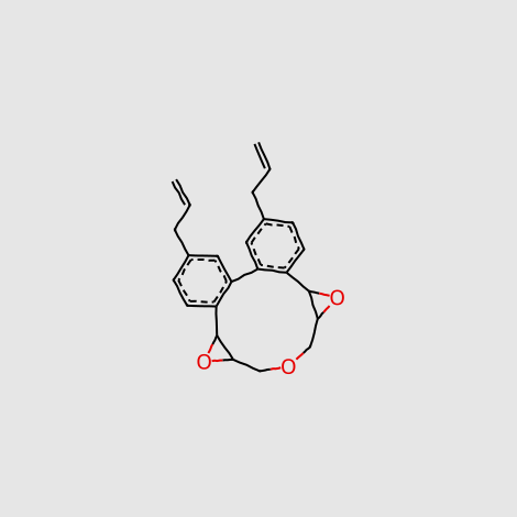 C=CCc1ccc2c(c1)-c1cc(CC=C)ccc1C1OC1COCC1OC21